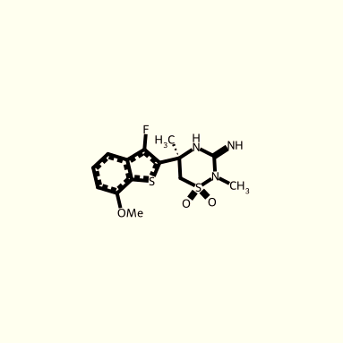 COc1cccc2c(F)c([C@]3(C)CS(=O)(=O)N(C)C(=N)N3)sc12